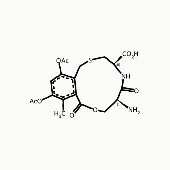 CC(=O)Oc1cc(OC(C)=O)c2c(c1C)C(=O)OC[C@H](N)C(=O)N[C@H](C(=O)O)CSC2